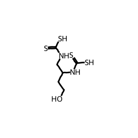 OCCC(CNC(=S)S)NC(=S)S